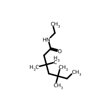 CCNC(=O)CC(C)(C)CC(C)(C)CC